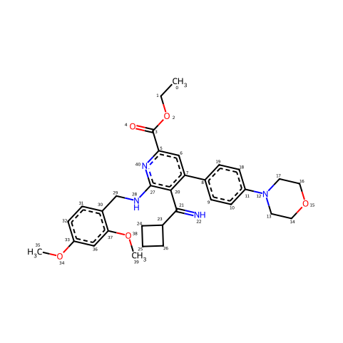 CCOC(=O)c1cc(-c2ccc(N3CCOCC3)cc2)c(C(=N)C2CCC2)c(NCc2ccc(OC)cc2OC)n1